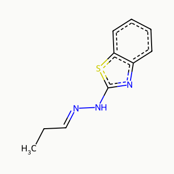 CCC=NNc1nc2ccccc2s1